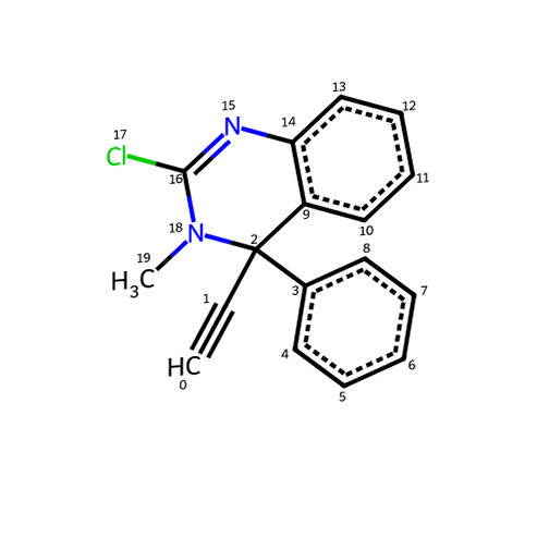 C#CC1(c2ccccc2)c2ccccc2N=C(Cl)N1C